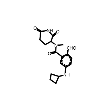 CN(C(=O)c1cc(NC2CCC2)ccc1C=O)C1CCC(=O)NC1=O